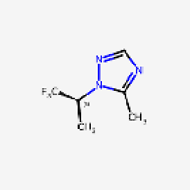 Cc1ncnn1[C@@H](C)C(F)(F)F